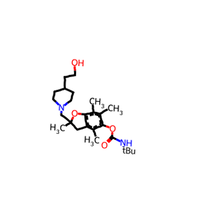 Cc1c(C)c2c(c(C)c1OC(=O)NC(C)(C)C)CC(C)(CN1CCC(CCO)CC1)O2